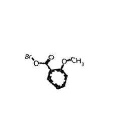 COc1ccccc1C(=O)OBr